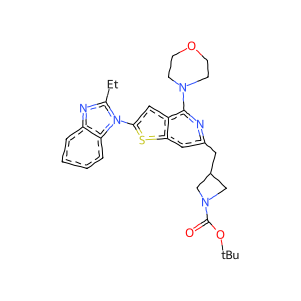 CCc1nc2ccccc2n1-c1cc2c(N3CCOCC3)nc(CC3CN(C(=O)OC(C)(C)C)C3)cc2s1